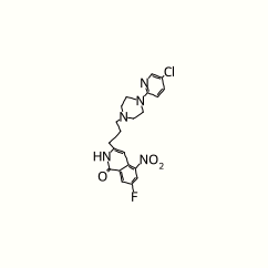 O=c1[nH]c(CCCN2CCN(c3ccc(Cl)cn3)CC2)cc2c([N+](=O)[O-])cc(F)cc12